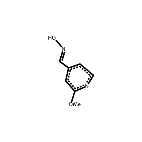 COc1cc(/C=N/O)ccn1